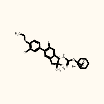 CCOc1ccc(-c2cc3c(cc2F)[C@H](NC(=O)O[C@H]2CN4CCC2CC4)C(C)(C)C3)cc1Cl